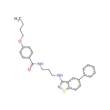 CCCCOc1ccc(C(=O)NCCCNc2nsc3ccc(-c4ccccc4)cc23)cc1